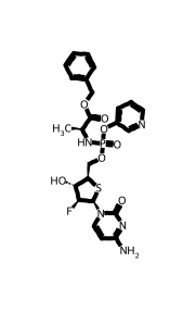 C[C@H](NP(=O)(OC[C@H]1S[C@@H](n2ccc(N)nc2=O)[C@@H](F)[C@@H]1O)Oc1cccnc1)C(=O)OCc1ccccc1